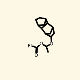 CCC(=O)OC(C)OC1CC2CC1C1C3CCC(C3)C21